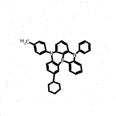 Cc1ccc(N2c3ccc(C4CCCCC4)cc3B3c4ccccc4N(c4ccccc4)c4cccc2c43)cc1